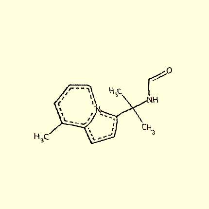 Cc1cccn2c(C(C)(C)NC=O)ccc12